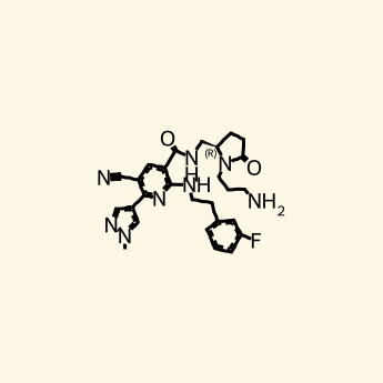 Cn1cc(-c2nc(NCCc3cccc(F)c3)c(C(=O)NC[C@H]3CCC(=O)N3CCCN)cc2C#N)cn1